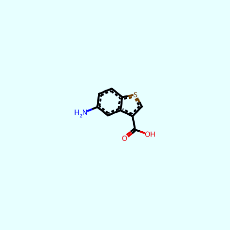 Nc1ccc2scc(C(=O)O)c2c1